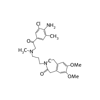 COc1cc2c(cc1OC)CC(=O)N(CCCN(C)CC(=O)c1cc(C)c(N)c(Cl)c1)CC2